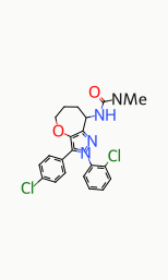 CNC(=O)NC1CCCOc2c1nn(-c1ccccc1Cl)c2-c1ccc(Cl)cc1